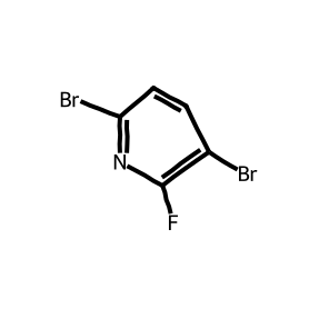 Fc1nc(Br)ccc1Br